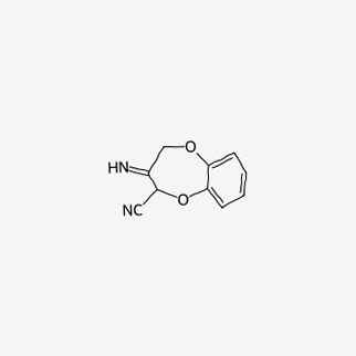 N#CC1Oc2ccccc2OCC1=N